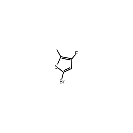 Cc1sc(Br)cc1F